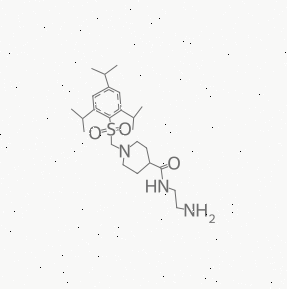 CC(C)c1cc(C(C)C)c(S(=O)(=O)CN2CCC(C(=O)NCCN)CC2)c(C(C)C)c1